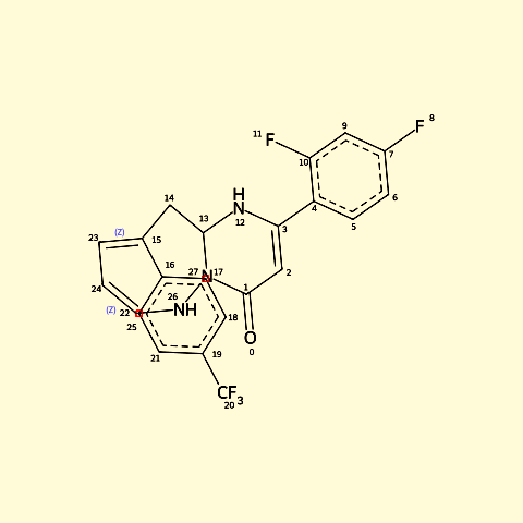 O=C1C=C(c2ccc(F)cc2F)NC2C/C(c3ccc(C(F)(F)F)cc3)=C/C=C\NN12